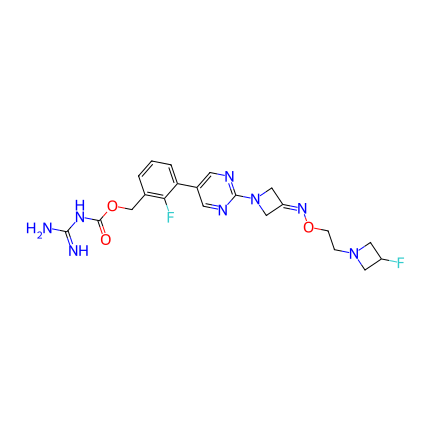 N=C(N)NC(=O)OCc1cccc(-c2cnc(N3CC(=NOCCN4CC(F)C4)C3)nc2)c1F